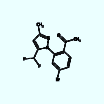 CC(=O)c1ccc(Br)cc1-n1nc(C)cc1C(F)F